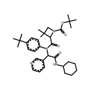 CC(C)(C)OC(=O)N1CC(C)(C)C1C(=O)N(c1ccc(C(C)(C)C)cc1)C(C(=O)NC1CCCCC1)c1cccnc1